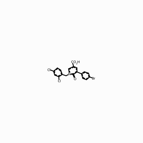 O=C(O)c1cc(-c2ccc(Br)cc2)c(=O)n(Cc2ccc(Cl)cc2Cl)c1